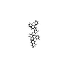 c1ccc(-c2c3ccccc3cc3c2oc2ccc(-c4c5ccccc5c(-c5ccc6ccccc6c5)c5ccccc45)cc23)cc1